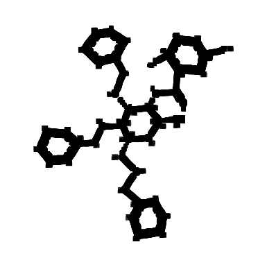 O=C(O[C@H]1[C@@H](OCc2ccccc2)[C@H](OCc2ccccc2)[C@@H](COCc2ccccc2)O[C@@H]1O)c1cc(F)ccc1F